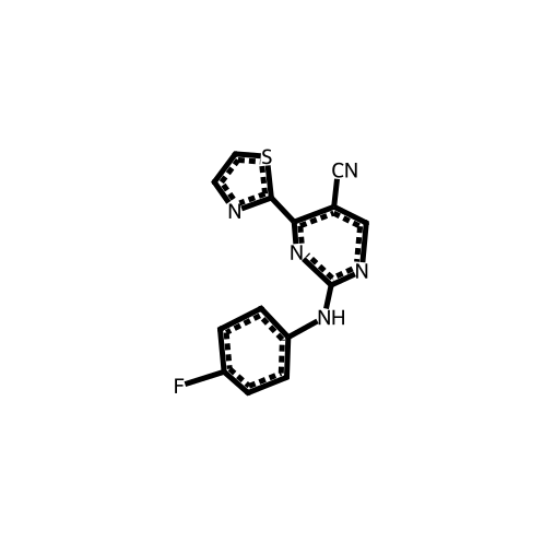 N#Cc1cnc(Nc2ccc(F)cc2)nc1-c1nccs1